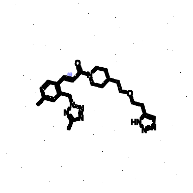 Cc1ccc(/C=C/C(=O)N2CCC(CCOCCc3cnn[nH]3)CC2)c(Cn2nnc(C)n2)c1